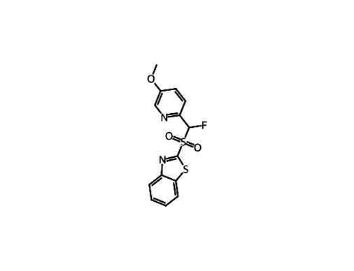 COc1ccc(C(F)S(=O)(=O)c2nc3ccccc3s2)nc1